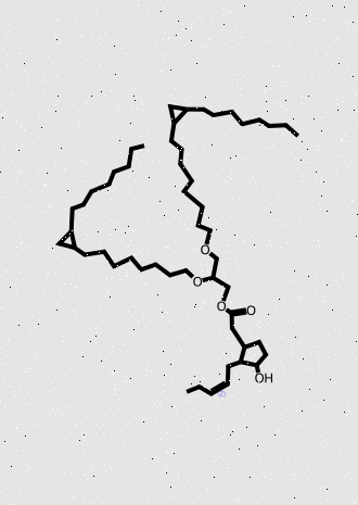 CC/C=C\CC1C(O)CCC1CC(=O)OCC(COCCCCCCCCC1CC1CCCCCCCC)OCCCCCCCCC1CC1CCCCCCCC